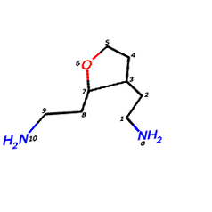 NCCC1CCOC1CCN